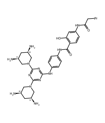 CC(C)CC(=O)Nc1ccc(C(=O)Nc2ccc(Nc3nc(N4C[C@H](N)C[C@H](N)C4)nc(N4C[C@H](N)C[C@H](N)C4)n3)cc2)c(O)c1